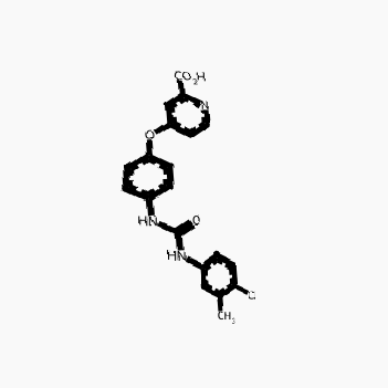 Cc1cc(NC(=O)Nc2ccc(Oc3ccnc(C(=O)O)c3)cc2)ccc1Cl